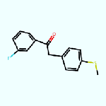 CSc1ccc(CC(=O)c2cccc(F)c2)cc1